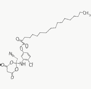 CCCCCCCCCCCCCCCCS(=O)(=O)Oc1ccc(Cl)c(NC2(CC#N)OC(=O)CC(=O)O2)c1